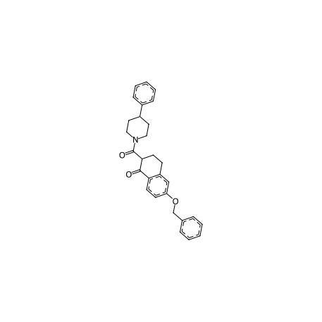 O=C1c2ccc(OCc3ccccc3)cc2CCC1C(=O)N1CCC(c2ccccc2)CC1